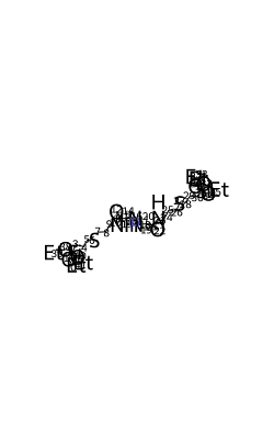 CCO[Si](CCCSCCCNC(=O)C(C)(C)/N=N/C(C)(C)C(=O)NCCCSCCC[Si](OCC)(OCC)OCC)(OCC)OCC